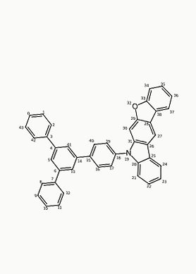 c1ccc(-c2cc(-c3ccccc3)cc(-c3ccc(-n4c5ccccc5c5cc6c(cc54)oc4ccccc46)cc3)c2)cc1